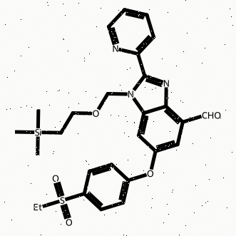 CCS(=O)(=O)c1ccc(Oc2cc(C=O)c3nc(-c4ccccn4)n(COCC[Si](C)(C)C)c3c2)cc1